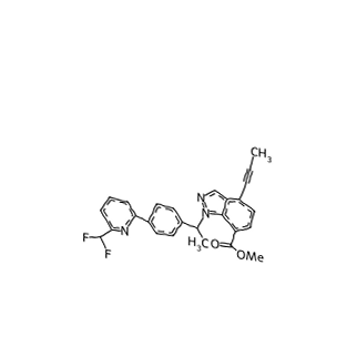 CC#Cc1ccc(C(=O)OC)c2c1cnn2C(C)c1ccc(-c2cccc(C(F)F)n2)cc1